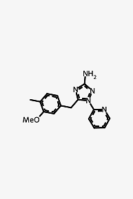 COc1cc(Cc2nc(N)nn2-c2ccccn2)ccc1C